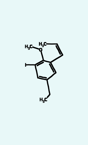 C/C=C\c1cc(CC)cc(I)c1OC